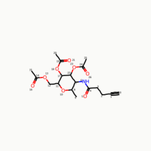 C#CCCC(=O)NC1C(C)OC(COC(C)=O)C(OC(C)=O)C1OC(C)=O